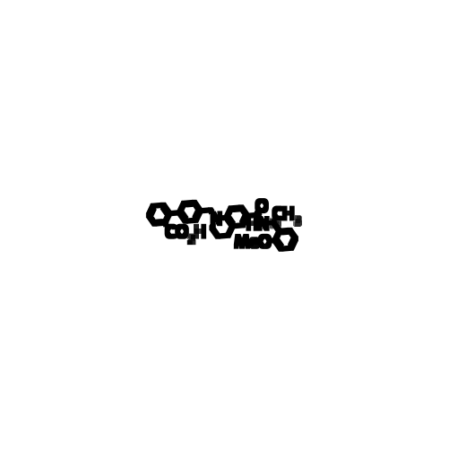 COc1ccccc1[C@H](C)NC(=O)c1ccc2c(c1)CCCN2Cc1ccc(-c2ccccc2C(=O)O)cc1